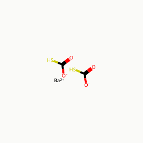 O=C([O-])S.O=C([O-])S.[Ba+2]